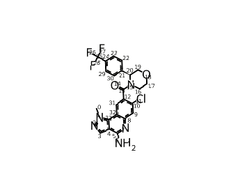 Cn1ncc2c(N)nc3cc(Cl)c(C(=O)N4CCOC[C@@H]4c4ccc(C(F)(F)F)cc4)cc3c21